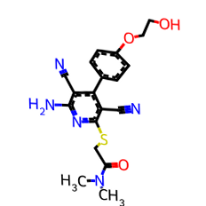 CN(C)C(=O)CSc1nc(N)c(C#N)c(-c2ccc(OCCO)cc2)c1C#N